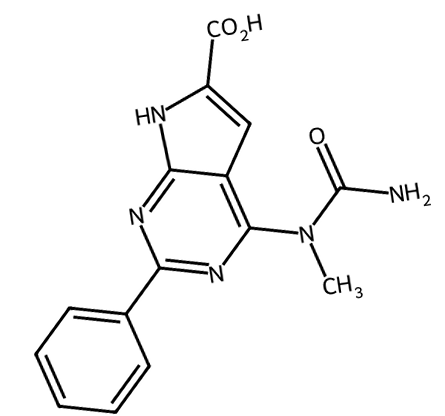 CN(C(N)=O)c1nc(-c2ccccc2)nc2[nH]c(C(=O)O)cc12